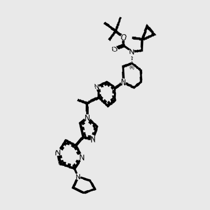 CC(c1ccc(N2CCC[C@@H](N(CC3(C)CC3)C(=O)OC(C)(C)C)C2)cn1)n1cnc(-c2cncc(N3CCCC3)n2)c1